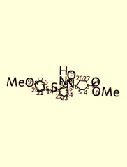 COC(=O)C1CCC(n2c(=O)[nH]c3c(SCc4ccc(OC)cc4)cccc32)CC1